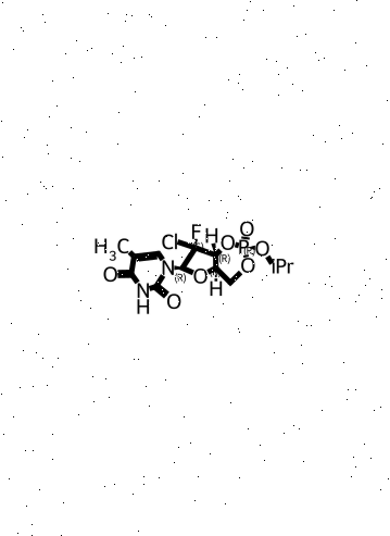 Cc1cn([C@@H]2O[C@@H]3CO[P@](=O)(OC(C)C)O[C@H]3[C@]2(F)Cl)c(=O)[nH]c1=O